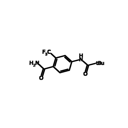 CC(C)(C)C(=O)Nc1ccc(C(N)=O)c(C(F)(F)F)c1